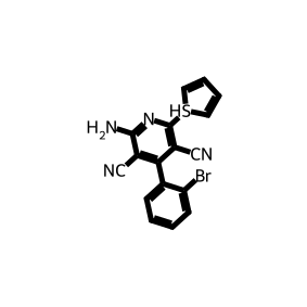 N#Cc1c(N)nc([SH]2C=CC=C2)c(C#N)c1-c1ccccc1Br